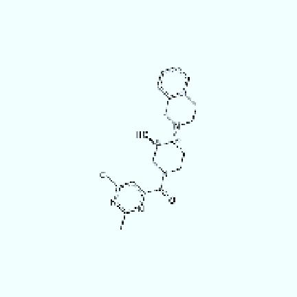 Cc1nc(Cl)cc(C(=O)N2CC[C@@H](N3CCc4ccccc4C3)[C@H](O)C2)n1